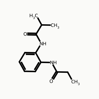 CCC(=O)Nc1ccccc1NC(=O)C(C)C